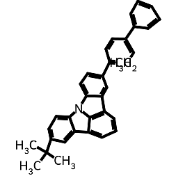 C=C(/C=C\C(=C/C)c1ccccc1)c1ccc2c(c1)c1cccc3c4cc(C(C)(C)C)ccc4n2c13